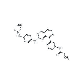 C=CC(=O)Nc1ccnc(-c2nccc3cnc(Nc4ccc(N[C@H]5CCNC5)nc4)nc23)c1